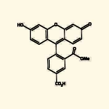 COC(=O)c1cc(C(=O)O)ccc1-c1c2ccc(=O)cc-2oc2cc(O)ccc12